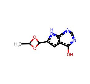 CC1OC(c2cc3c(O)ncnc3[nH]2)O1